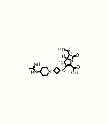 CC(=N)NC1CCN([C@H]2C[C@H](SC3=C(C(=O)O)N4C(=O)[C@H]([C@@H](C)O)[C@H]4[C@H]3C)C2)CC1